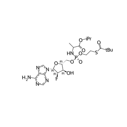 CC(C)OC(=O)C(C)NP(=O)(OCCSC(=O)C(C)(C)C)OC[C@H]1O[C@@H](n2cnc3c(N)ncnc32)[C@H](F)[C@@H]1O